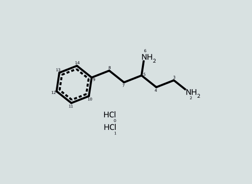 Cl.Cl.NCCC(N)CCc1ccccc1